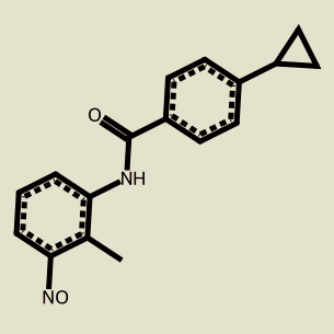 Cc1c(N=O)cccc1NC(=O)c1ccc(C2CC2)cc1